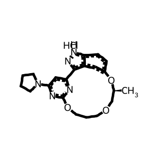 C[C@H]1COCCCOc2nc(cc(N3CCCC3)n2)-c2n[nH]c3ccc(cc23)O1.Cl